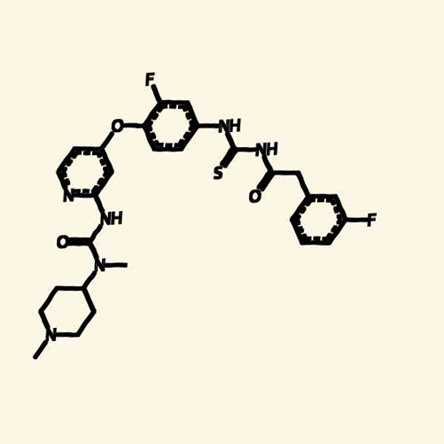 CN1CCC(N(C)C(=O)Nc2cc(Oc3ccc(NC(=S)NC(=O)Cc4cccc(F)c4)cc3F)ccn2)CC1